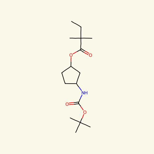 CCC(C)(C)C(=O)OC1CCC(NC(=O)OC(C)(C)C)C1